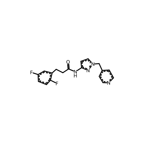 O=C(CCc1cc(F)ccc1F)Nc1ccn(Cc2ccncc2)n1